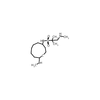 CBC1CCCCCC(BS(=O)(=O)C(C)(C)CNC)CCC1